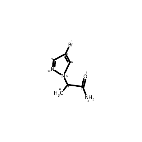 CC(C(N)=O)n1cc(Br)cn1